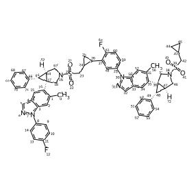 Cc1cc2c(cnn2-c2ccc(F)cc2)cc1[C@@]12CN(S(=O)(=O)CC3CC3c3cc(-n4ncc5cc([C@]67CN(S(=O)(=O)CC8CC8)C[C@H]6[C@@H]7c6ccccc6)c(C)cc54)ccc3F)C[C@@H]1[C@H]2c1ccccc1